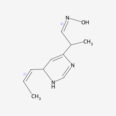 C/C=C\C1C=C(C(C)/C=N\O)N=CN1